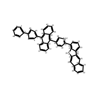 c1ccc(-c2ccc(-c3c4ccccc4c(-c4ccc(-c5cccc6c5sc5cc7ccccc7cc56)nc4)c4ccccc34)cc2)cc1